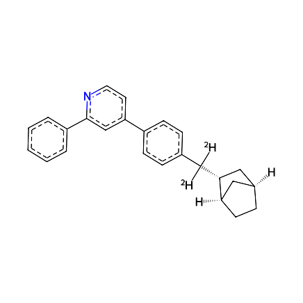 [2H]C([2H])(c1ccc(-c2ccnc(-c3ccccc3)c2)cc1)[C@@H]1C[C@H]2CC[C@@H]1C2